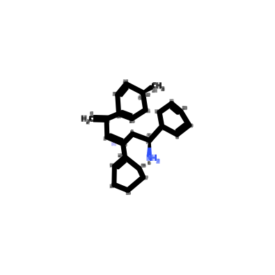 C=C(/C=C(\C[C@H](N)C1C=CC=CC1)C1=CCCCC1)C1=CC[C@H](C)C=C1